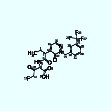 CCC(C(=O)NC(C(=O)O)C(=O)CF)c1ccnn(Cc2cccc(C(F)(F)F)c2)c1=O